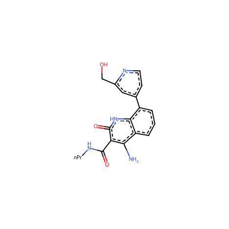 CCCNC(=O)c1c(N)c2cccc(-c3ccnc(CO)c3)c2[nH]c1=O